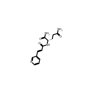 NC(=O)CC[C@H](NC(=O)/C=C/c1cccnc1)C(N)=O